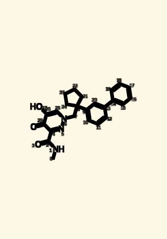 CNC(=O)c1nn(CC2(c3cccc(-c4ccccc4)c3)CCCC2)cc(O)c1=O